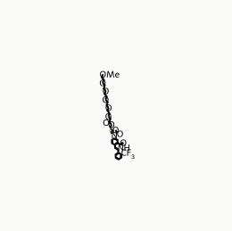 COCCOCCOCCOCCOCCOCC(=O)OC[C@@H]1CN(c2ccc3cc(-c4ccccc4C(F)(F)F)[nH]c(=O)c3c2)C(=O)O1